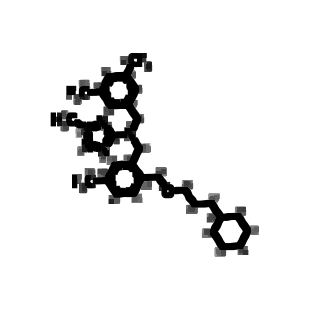 Cn1nnc(N(Cc2cc(C(F)(F)F)cc(C(F)(F)F)c2)Cc2cc(C(F)(F)F)ccc2COCCCC2CCCCC2)n1